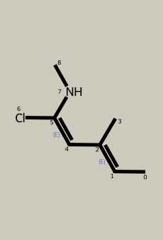 C/C=C(C)/C=C(/Cl)NC